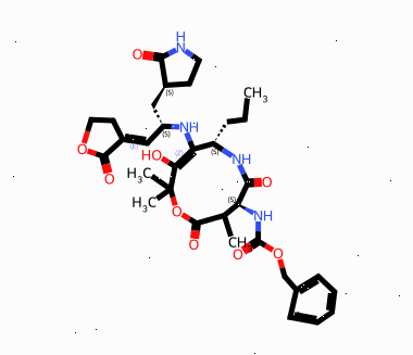 CCC[C@@H]1NC(=O)[C@@H](NC(=O)OCc2ccccc2)C(C)C(=O)OC(C)(C)/C(O)=C\1N[C@H](/C=C1\CCOC1=O)C[C@@H]1CCNC1=O